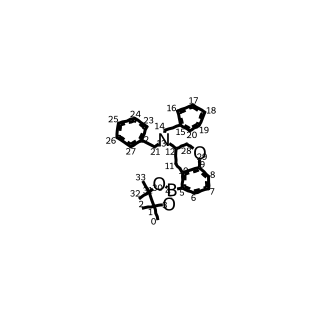 CC1(C)OB(c2cccc3c2CC(N(Cc2ccccc2)Cc2ccccc2)CO3)OC1(C)C